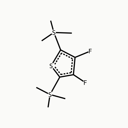 CS(C)(C)c1sc(S(C)(C)C)c(F)c1F